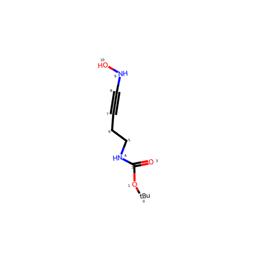 CC(C)(C)OC(=O)NCCC#CNO